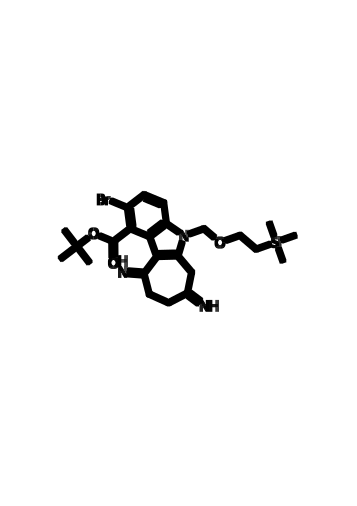 CC(C)(C)OC(=O)c1c(Br)ccc2c1c1c(n2COCC[Si](C)(C)C)CC(=N)CCC1=N